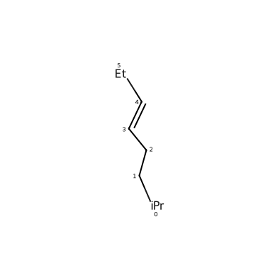 [CH2]C(C)CCC=CCC